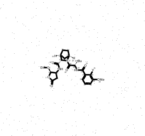 CCO[C@@H]1OC(=O)CC1NC(=O)[C@@H]1[C@H]2CC[C@H](C2)N1C(=O)[C@@H](NC(=O)c1cccc(OC)c1F)C(C)(C)C